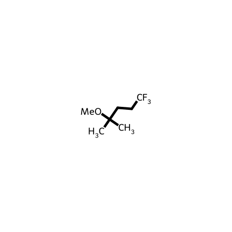 COC(C)(C)CCC(F)(F)F